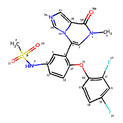 Cn1cc(-c2cc(NS(C)(=O)=O)ccc2Oc2ccc(F)cc2F)n2cncc2c1=O